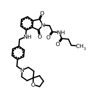 CCCC(=O)NC(=O)CN1C(=O)c2cccc(NCc3ccc(CN4CCC5(CCCO5)CC4)cc3)c2C1=O